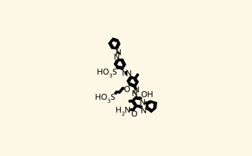 Cc1cc(N=Nc2c(C)c(C(N)=O)c3nc4ccccc4n3c2O)c(OCCCS(=O)(=O)O)cc1N=Nc1ccc(N=Nc2ccccc2)cc1S(=O)(=O)O